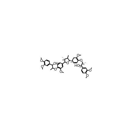 COC1=C(O[C@H](C)[C@H](O)c2ccc(OC)c(OC)c2)C=C[C@@H](C2OC(c3ccc(OC(C)C(O)c4ccc(OC)c(OC)c4)c(OC)c3)[C@H](C)C2C)C1